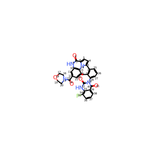 Cc1c(-c2ccc3c(=O)[nH]c4cc(C(=O)N5CCOCC5)ccc4n23)cccc1-n1c(=O)[nH]c2c(F)cccc2c1=O